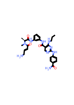 CCCNc1nc(Nc2ccc(C(N)=O)cc2)ncc1C(=O)Nc1cccc(NC(=O)[C@H](C)N(C)C(=O)/C=C/CN)c1